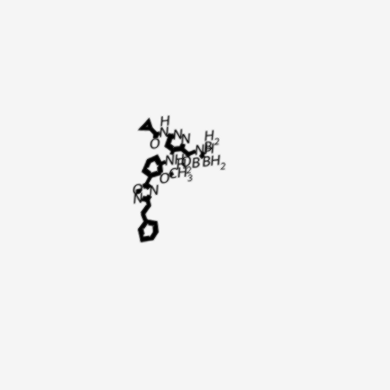 BC(B)(B)NC(=O)c1nnc(NC(=O)C2CC2)cc1Nc1cccc(-c2nc(/C=C/c3ccccc3)no2)c1OC